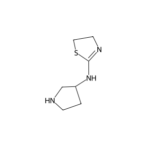 C1CSC(NC2CCNC2)=N1